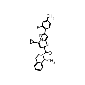 Cc1ccc(-c2cc3nc(C(=O)N4CCc5ccccc5C4C)cc(C4CC4)n3n2)c(F)c1